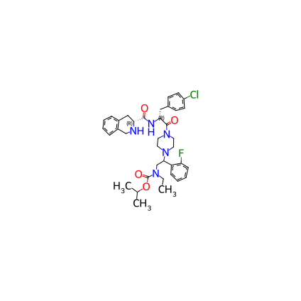 CCN(CC(c1ccccc1F)N1CCN(C(=O)[C@@H](Cc2ccc(Cl)cc2)NC(=O)[C@H]2Cc3ccccc3CN2)CC1)C(=O)OC(C)C